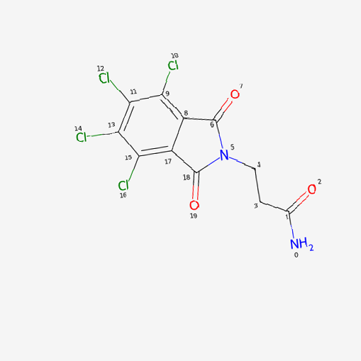 NC(=O)CCN1C(=O)c2c(Cl)c(Cl)c(Cl)c(Cl)c2C1=O